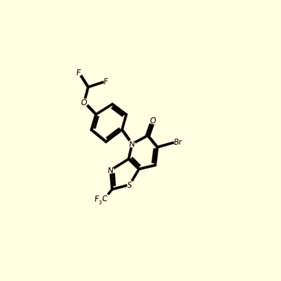 O=c1c(Br)cc2sc(C(F)(F)F)nc2n1-c1ccc(OC(F)F)cc1